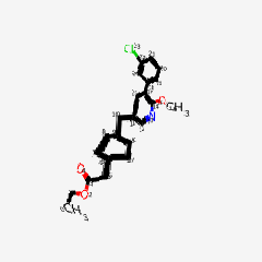 CCOC(=O)Cc1ccc(Cc2cnc(OC)c(-c3cccc(Cl)c3)c2)cc1